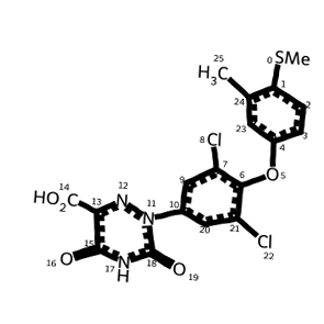 CSc1ccc(Oc2c(Cl)cc(-n3nc(C(=O)O)c(=O)[nH]c3=O)cc2Cl)cc1C